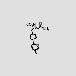 Cc1ccc(N2CCC(CN(CC(N)=O)C(=O)O)CC2)nc1